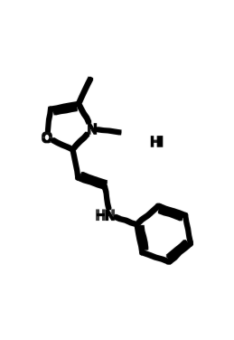 CC1=COC(C=CNc2ccccc2)N1C.I